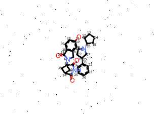 O=C1NC(=O)C2(N3Cc4cc(O[C@@H]5CCC[C@@H]5N5CC[C@H](c6ccccc6)C5)ccc4C3=O)CC1C2